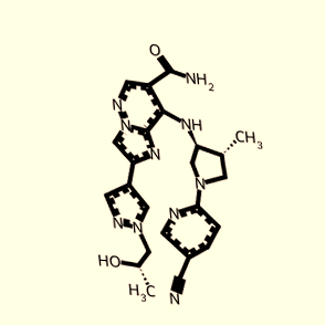 C[C@H](O)Cn1cc(-c2cn3ncc(C(N)=O)c(N[C@@H]4CN(c5ccc(C#N)cn5)C[C@H]4C)c3n2)cn1